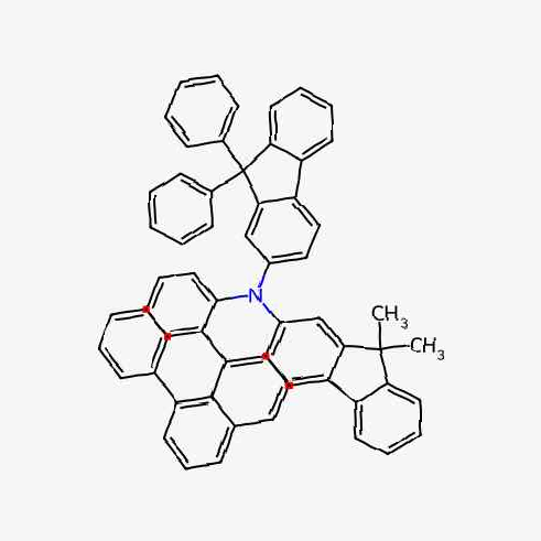 CC1(C)c2ccccc2-c2ccc(N(c3ccc4c(c3)C(c3ccccc3)(c3ccccc3)c3ccccc3-4)c3ccccc3-c3cccc4cccc(-c5ccccc5)c34)cc21